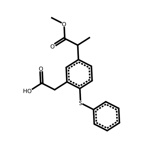 COC(=O)C(C)c1ccc(Sc2ccccc2)c(CC(=O)O)c1